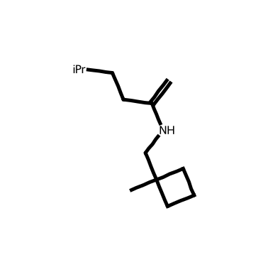 C=C(CCC(C)C)NCC1(C)CCC1